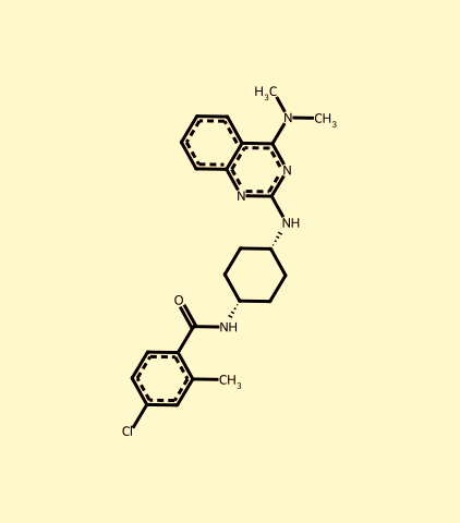 Cc1cc(Cl)ccc1C(=O)N[C@H]1CC[C@@H](Nc2nc(N(C)C)c3ccccc3n2)CC1